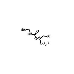 CCC(C)CNC(=O)O[C@@H](CC(C)C)C(=O)O